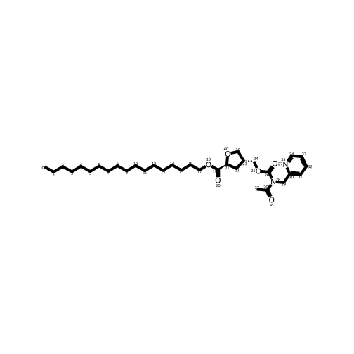 CCCCCCCCCCCCCCCCCCOC(=O)[C@@H]1C[C@@H](COC(=O)N(Cc2ccccn2)C(C)=O)CO1